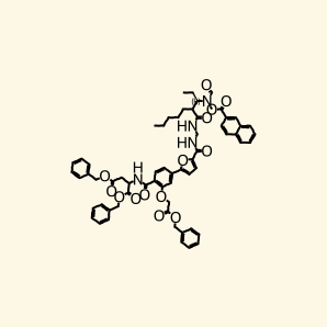 CCCCCC(C(=O)NCNC(=O)c1ccc(-c2ccc(C(=O)NC(CC(=O)OCc3ccccc3)C(=O)OCc3ccccc3)c(OCC(=O)OCc3ccccc3)c2)o1)[C@@H](CC)N(C=O)OC(=O)c1ccc2ccccc2c1